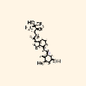 C=C1/C(=C\C=C2CCC[C@@]3(C)C2CC[C@@H]3[C@H](C)CCC(=O)C(O)(C(F)(F)F)C(F)(F)F)C[C@@H](O)C[C@H]1O